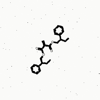 C=C(C(=O)OCC(CC)c1ccccc1)C(=O)OCC(CC)c1ccccc1